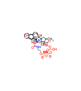 C[C@@H]1C[C@@]2(N)[C@@H]3CCC4=CC(=O)C=C[C@]4(C)[C@@]3(F)[C@@H](O)C[C@]2(C)[C@@]1(O)C(=O)COP(=O)(O)OP(=O)(O)OP(=O)(O)OCCNC(=O)OCC1c2ccccc2-c2ccccc21